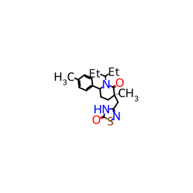 CCC(CC)N1C(=O)[C@@](C)(Cc2nsc(=O)[nH]2)CCC1c1ccc(C)cc1